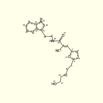 N#C/C(=C\c1ccc(CCOCCO)o1)C(=O)NCCc1c[nH]c2ccccc12